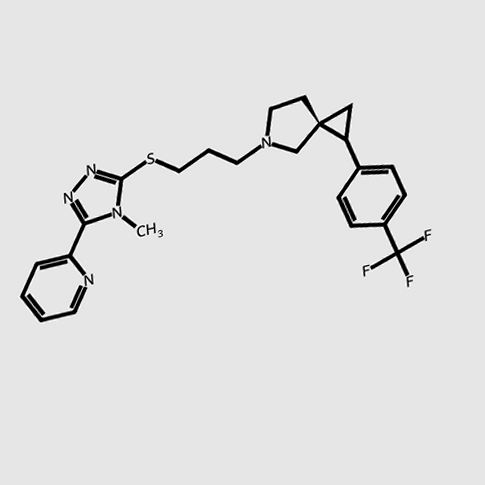 Cn1c(SCCCN2CC[C@]3(CC3c3ccc(C(F)(F)F)cc3)C2)nnc1-c1ccccn1